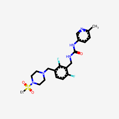 CCS(=O)(=O)N1CCN(Cc2ccc(F)c(CNC(=O)Nc3ccc(C)nc3)c2F)CC1